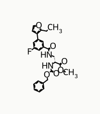 CCc1occc1-c1cc(F)cc(C(=O)NC[C@@H](NC(=O)OCc2ccccc2)C(=O)OC)c1